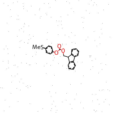 CSc1ccc(OC(=O)OCC2c3ccccc3-c3ccccc32)cc1